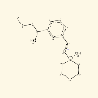 CCCC(O)c1cccc(/C=C/C2(O)CCCCC2)c1